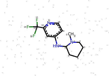 CN1CCCCC1Nc1ccnc(C(F)(F)F)c1